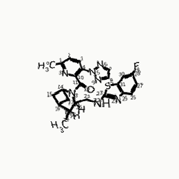 Cc1ccc(-n2nccn2)c(C(=O)N2C3CC(C3)[C@H](C)[C@@H]2CNc2nc3ccc(F)cc3s2)n1